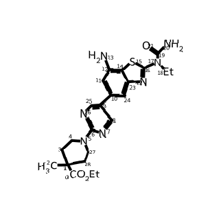 CCOC(=O)C1(C)CCN(c2ncc(-c3cc(N)c4sc(N(CC)C(N)=O)nc4c3)cn2)CC1